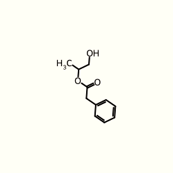 CC(CO)OC(=O)Cc1ccccc1